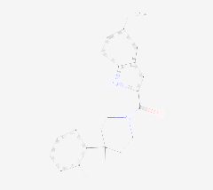 CCC1(c2ccccc2C)CCN(C(=O)c2cc3cc(OC)ccc3[nH]2)CC1